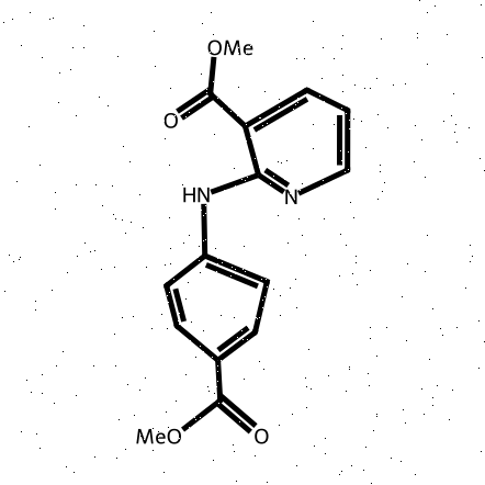 COC(=O)c1ccc(Nc2ncccc2C(=O)OC)cc1